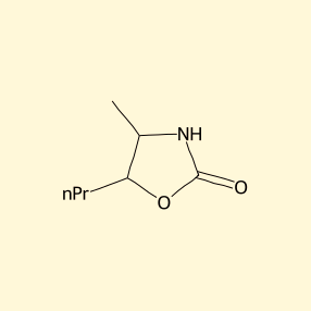 CCCC1OC(=O)NC1C